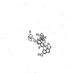 Oc1cc(-c2nc3c4c(nc(OC[C@@]56CCCN5C[C@H](F)C6)nc4c2F)N2C[C@H]4CC[C@H](N4)[C@H]2CC3)c2c(OC3CC3)c(F)ccc2c1